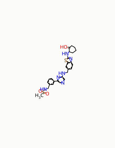 CS(=O)(=O)NCc1cccc(-c2cncc(NCc3ccc4nc(NC5CCCC[C@H]5O)sc4c3)n2)c1